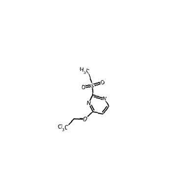 CS(=O)(=O)c1nccc(OCC(Cl)(Cl)Cl)n1